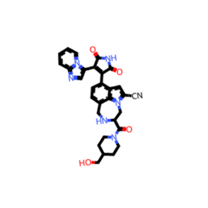 N#Cc1cc2c(C3=C(c4cnc5ccccn45)C(=O)NC3=O)ccc3c2n1CC(C(=O)N1CCC(CO)CC1)NC3